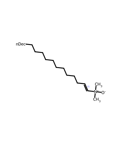 CCCCCCCCCCCCCCCCCCCC/C=C/[N+](C)(C)[O-]